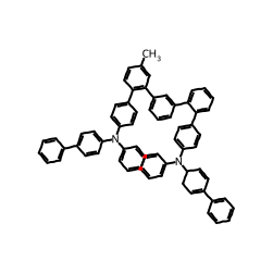 Cc1ccc(-c2ccc(N(c3ccccc3)c3ccc(-c4ccccc4)cc3)cc2)c(-c2cccc(-c3ccccc3-c3ccc(N(c4ccccc4)C4C=CC(c5ccccc5)=CC4)cc3)c2)c1